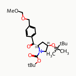 COCOCc1ccc(C(=O)[C@@H]2C[C@@H](O[Si](C)(C)C(C)(C)C)CN2C(=O)OC(C)(C)C)cc1